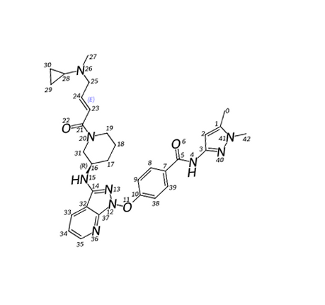 Cc1cc(NC(=O)c2ccc(On3nc(N[C@@H]4CCCN(C(=O)/C=C/CN(C)C5CC5)C4)c4cccnc43)cc2)nn1C